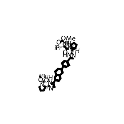 COC(=O)N[C@H](C(=O)N1[C@H]2CC[C@H](C2)[C@H]1c1ncc(-c2ccc(-c3ccc4cc(-c5cnc([C@@H]6CCCN6C(=O)OC(C)(C)C)[nH]5)ccc4c3)cc2)[nH]1)C(C)C